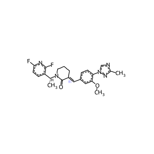 COc1cc(/C=C2\CCCN([C@H](C)c3ccc(F)nc3F)C2=O)ccc1-n1cnc(C)n1